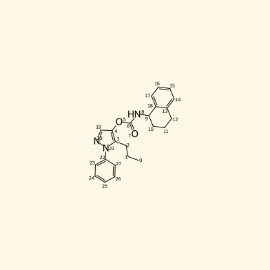 CCCc1c(OC(=O)NC2CCCc3ccccc32)cnn1-c1ccccc1